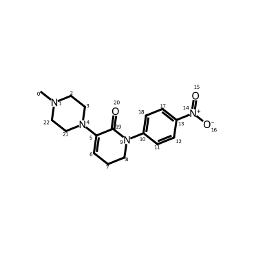 CN1CCN(C2=CCCN(c3ccc([N+](=O)[O-])cc3)C2=O)CC1